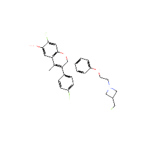 CC1=C(c2ccc(F)cc2)[C@@H](c2ccc(OCCN3CC(CF)C3)cc2)Oc2cc(F)c(O)cc21